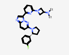 CCN(CC)C1CN(c2cccc(-c3cnc4ccc(N5CCC[C@@H]5c5cccc(F)c5)nn34)n2)C1